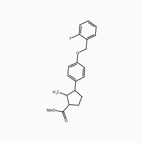 COC(=O)C1CCC(c2ccc(OCc3ccccc3F)cc2)N1C